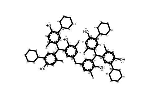 Cc1cc(O)c(C2CCCCC2)cc1C(c1cc(C2CCCCC2)c(O)cc1C)c1cc(Cc2cc(C)c(O)c(C(c3cc(C4CCCCC4)c(O)cc3C)c3cc(C4CCCCC4)c(O)cc3C)c2)cc(C)c1O